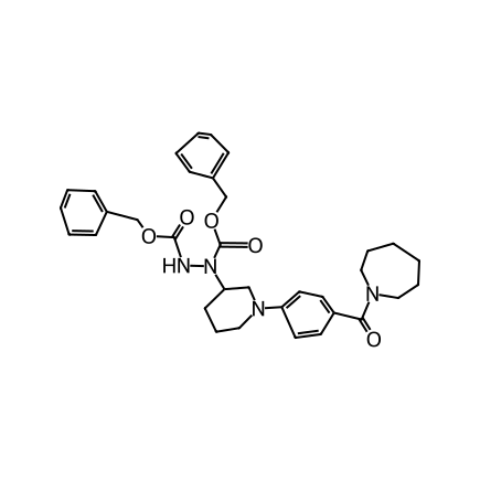 O=C(NN(C(=O)OCc1ccccc1)C1CCCN(c2ccc(C(=O)N3CCCCCC3)cc2)C1)OCc1ccccc1